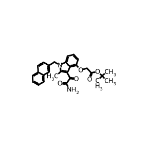 Cc1c(C(=O)C(N)=O)c2c(OCC(=O)OC(C)(C)C)cccc2n1Cc1ccc2ccccc2c1